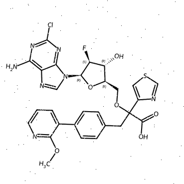 COc1ncccc1-c1ccc(CC(OC[C@H]2O[C@@H](n3cnc4c(N)nc(Cl)nc43)[C@@H](F)[C@@H]2O)(C(=O)O)c2cscn2)cc1